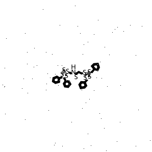 S=C(CCSP(=S)(SCc1ccccc1)SCc1ccccc1)NCSP(=S)(SCc1ccccc1)SCc1ccccc1